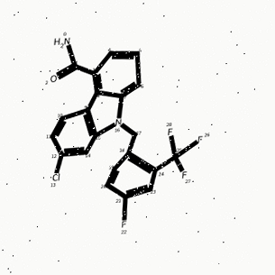 NC(=O)c1cccc2c1c1[c]cc(Cl)cc1n2Cc1ccc(F)cc1C(F)(F)F